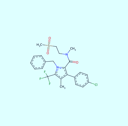 Cc1c(-c2ccc(Cl)cc2)c(C(=O)N(C)CCS(C)(=O)=O)n(Cc2ccccc2)c1C(F)(F)F